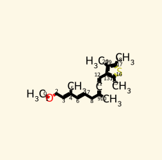 COC/C=C(C)/C=C/CC(C)=C=Cc1c(C)sc(C)c1C